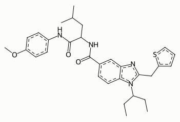 CCC(CC)n1c(Cc2cccs2)nc2cc(C(=O)NC(CC(C)C)C(=O)Nc3ccc(OC)cc3)ccc21